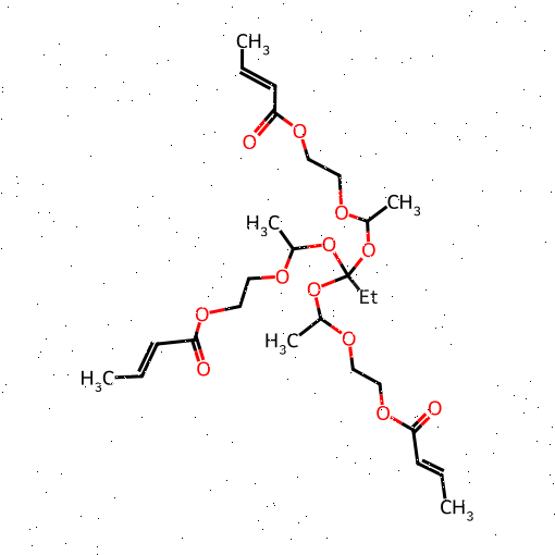 CC=CC(=O)OCCOC(C)OC(CC)(OC(C)OCCOC(=O)C=CC)OC(C)OCCOC(=O)C=CC